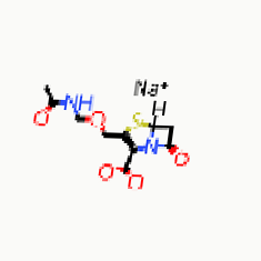 CC(=O)NCOCC1=C(C(=O)[O-])N2C(=O)C[C@H]2S1.[Na+]